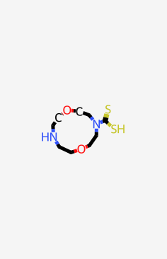 S=C(S)N1CCOCCNCCOCC1